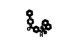 O=C(c1ccc(NS(=O)(=O)c2cccc3cccnc23)cc1)N1CCN(c2ccccc2)CC1